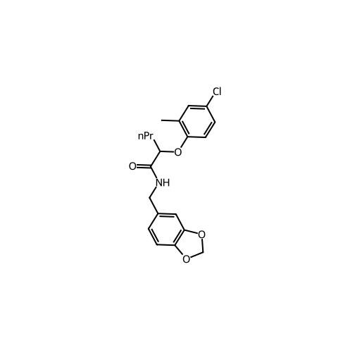 CCCC(Oc1ccc(Cl)cc1C)C(=O)NCc1ccc2c(c1)OCO2